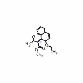 CCOC1C=Cc2ccccc2/C1=C(\C(C)=O)C(=O)OC